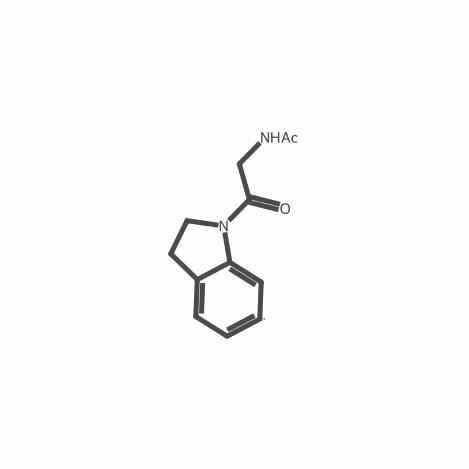 CC(=O)NCC(=O)N1CCc2cc[c]cc21